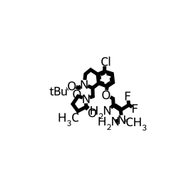 C[C@H]1CCN(CC2c3c(OC/C(N)=C(\C(F)F)N(C)N)ccc(Cl)c3CCN2C(=O)OC(C)(C)C)C1=O